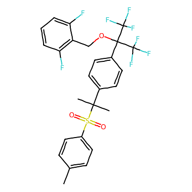 Cc1ccc(S(=O)(=O)C(C)(C)c2ccc(C(OCc3c(F)cccc3F)(C(F)(F)F)C(F)(F)F)cc2)cc1